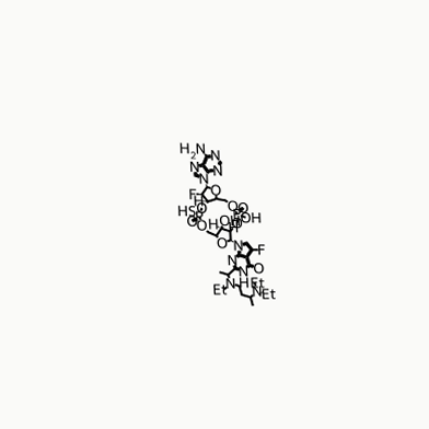 CCN(CC)C(C)CCN(CC)C(C)c1nc2c(c(F)cn2[C@@H]2OC3COP(=O)(S)O[C@@H]4C(COP(=O)(O)O[C@@H]2[C@@H]3O)O[C@@H](n2cnc3c(N)ncnc32)[C@@H]4F)c(=O)[nH]1